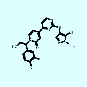 CCc1c(Nc2nccc(-c3ccn(C(CO)c4ccc(Cl)c(F)c4)c(=O)c3)n2)cnn1C